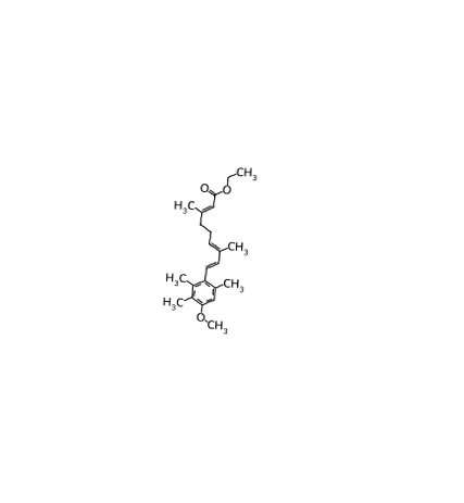 CCOC(=O)C=C(C)CCC=C(C)C=Cc1c(C)cc(OC)c(C)c1C